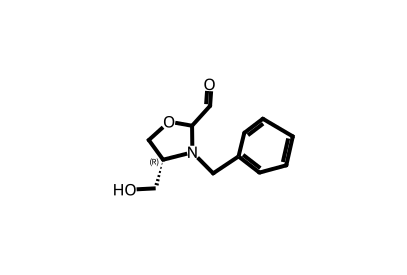 O=CC1OC[C@@H](CO)N1Cc1ccccc1